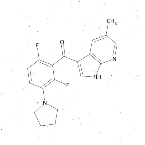 Cc1cnc2[nH]cc(C(=O)c3c(F)ccc(N4CCCC4)c3F)c2c1